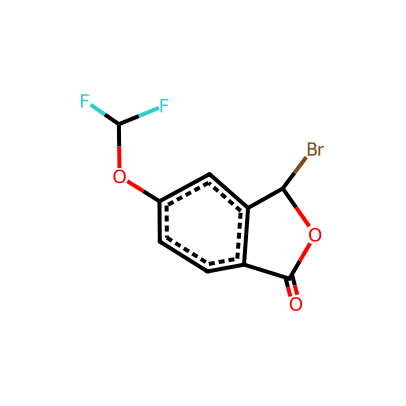 O=C1OC(Br)c2cc(OC(F)F)ccc21